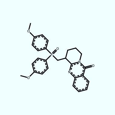 COc1ccc(P(=O)(CC2CCCn3c2nc2ccccc2c3=O)c2ccc(OC)cc2)cc1